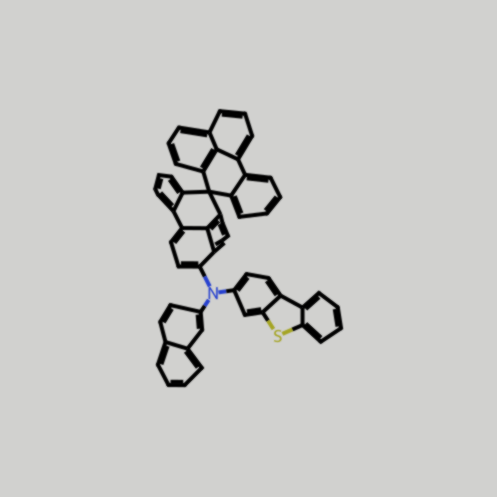 c1ccc2c(c1)-c1cccc3cccc(c13)C21c2ccccc2-c2ccc(N(c3ccc4ccccc4c3)c3ccc4c(c3)sc3ccccc34)c3cccc1c23